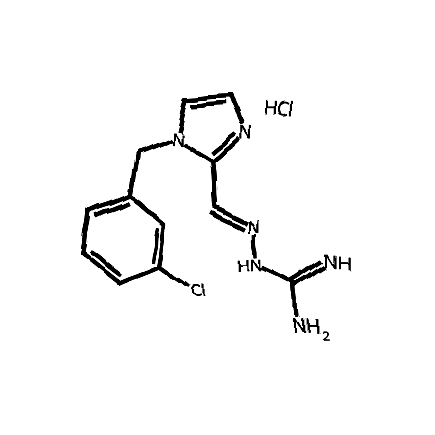 Cl.N=C(N)N/N=C/c1nccn1Cc1cccc(Cl)c1